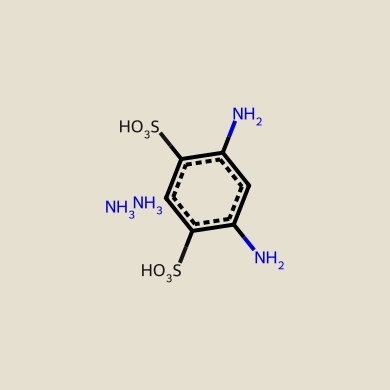 N.N.Nc1cc(N)c(S(=O)(=O)O)cc1S(=O)(=O)O